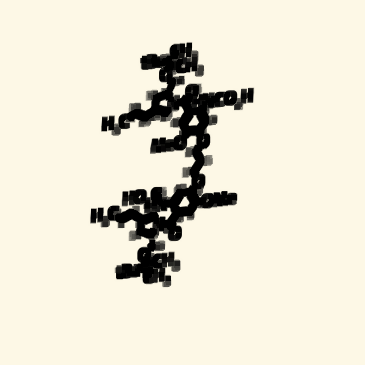 C/C=C/C1=CN(C(=O)c2cc(OC)c(OCCCOc3cc(NC(=O)O)c(C(=O)N4C=C(/C=C/C)C[C@H]4CO[Si](C)(C)C(C)(C)C)cc3OC)cc2NC(=O)O)[C@H](CO[Si](C)(C)C(C)(C)C)C1